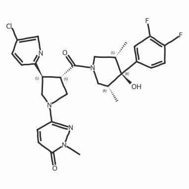 C[C@@H]1CN(C(=O)[C@@H]2CN(c3ccc(=O)n(C)n3)C[C@H]2c2ccc(Cl)cn2)C[C@H](C)[C@]1(O)c1ccc(F)c(F)c1